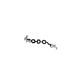 CCCC[C@H]1CC[C@H](C2CCC(C3=CCC(OCC(F)(F)F)C=C3)CC2)CC1